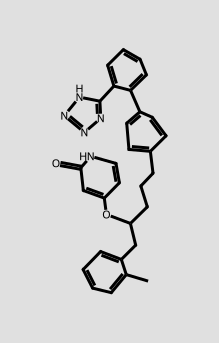 Cc1ccccc1CC(CCCc1ccc(-c2ccccc2-c2nnn[nH]2)cc1)Oc1cc[nH]c(=O)c1